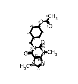 CC(=O)OC1CCC(Cn2c(=O)c3c(ncn3C)n(C)c2=O)CC1